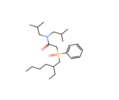 CCCCC(CC)CP(=O)(CC(=O)N(CC(C)C)CC(C)C)c1ccccc1